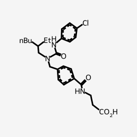 CCCCC(CC)CN(Cc1ccc(C(=O)NCCC(=O)O)cc1)C(=O)Nc1ccc(Cl)cc1